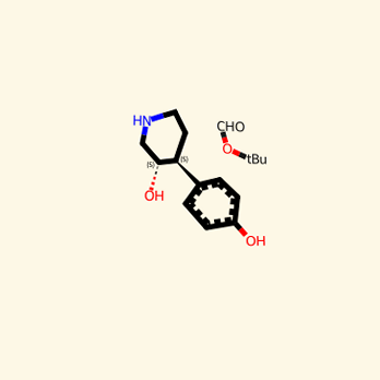 CC(C)(C)OC=O.Oc1ccc([C@@H]2CCNC[C@H]2O)cc1